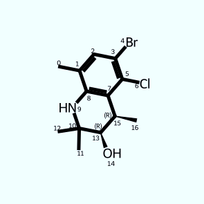 Cc1cc(Br)c(Cl)c2c1NC(C)(C)[C@H](O)[C@@H]2C